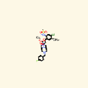 COc1cc(C=CC(=O)N2C3CN(Cc4ccc(F)cc4)CC2CN(C(=O)OC(C)(C)C)C3)c(NS(C)(=O)=O)cc1Cl